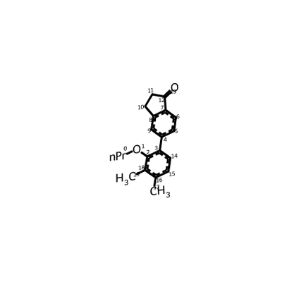 CCCOc1c(-c2ccc3c(c2)CCC3=O)ccc(C)c1C